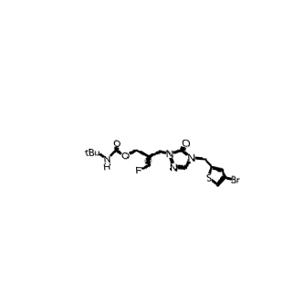 CC(C)(C)NC(=O)OCC(=CF)Cn1ncn(Cc2cc(Br)cs2)c1=O